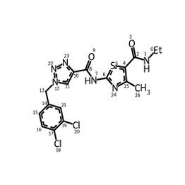 CCNC(=O)c1sc(NC(=O)c2cn(Cc3ccc(Cl)c(Cl)c3)nn2)nc1C